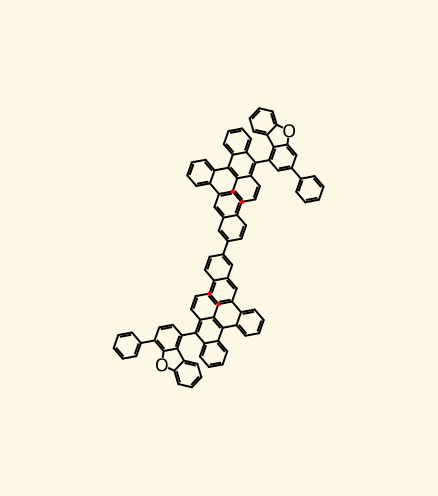 c1ccc(-c2cc(-c3c4ccccc4c(-c4ccccc4-c4ccc5ccc(-c6ccc7ccc(-c8ccccc8-c8c9ccccc9c(-c9ccc(-c%10ccccc%10)c%10oc%11ccccc%11c9%10)c9ccccc89)cc7c6)cc5c4)c4ccccc34)c3c(c2)oc2ccccc23)cc1